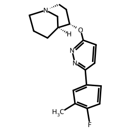 Cc1cc(-c2ccc(O[C@H]3CC[N@@]4CCC[C@H]3C4)nn2)ccc1F